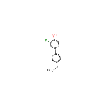 O=C(O)Cc1ccc(-c2ccc(O)c(F)c2)cc1